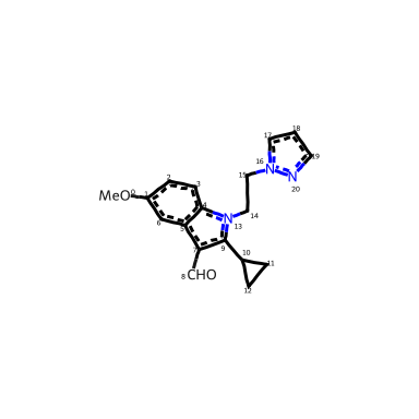 COc1ccc2c(c1)c(C=O)c(C1CC1)n2CCn1cccn1